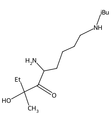 CCC(C)NCCCCC(N)C(=O)C(C)(O)CC